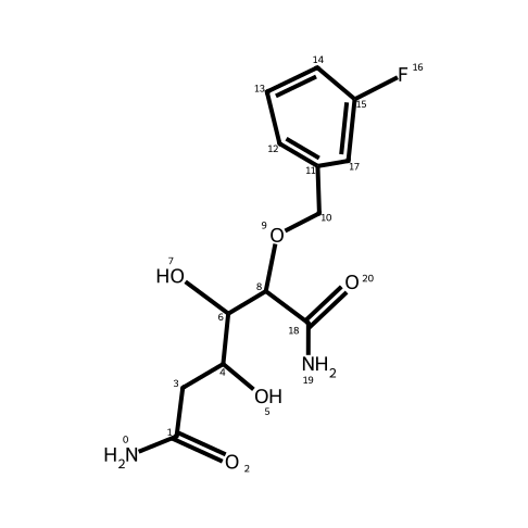 NC(=O)CC(O)C(O)C(OCc1cccc(F)c1)C(N)=O